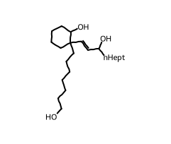 CCCCCCCC(O)C=CC1(CCCCCCCO)CCCCC1O